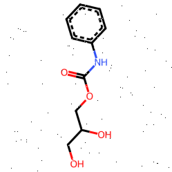 O=C(Nc1ccccc1)OCC(O)CO